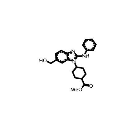 COC(=O)C1CCC(n2c(Nc3ccccc3)nc3ccc(CO)cc32)CC1